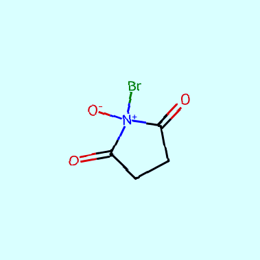 O=C1CCC(=O)[N+]1([O-])Br